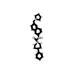 O=C(Nc1ccc2cc(CN3CCCC3)ccc2c1)N1CCC(c2ccccc2)CC1